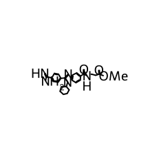 COC(=O)CCNC(=O)c1ccc2c(c1)nc(-c1ccc(C(=N)N)cc1)n2C1CCCCC1